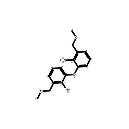 COCc1cccc(Oc2cccc(COC)c2N)c1N